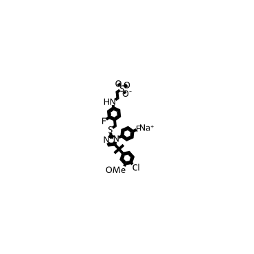 COc1cc(C(C)(C)c2cnc(SCc3ccc(NCCS(=O)(=O)[O-])cc3F)n2-c2ccc(F)cc2)ccc1Cl.[Na+]